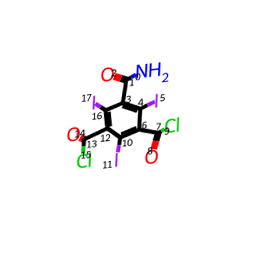 NC(=O)c1c(I)c(C(=O)Cl)c(I)c(C(=O)Cl)c1I